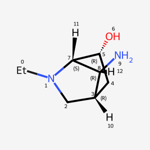 CCN1C[C@H]2C[C@@H](O)[C@@H]1[C@@H]2N